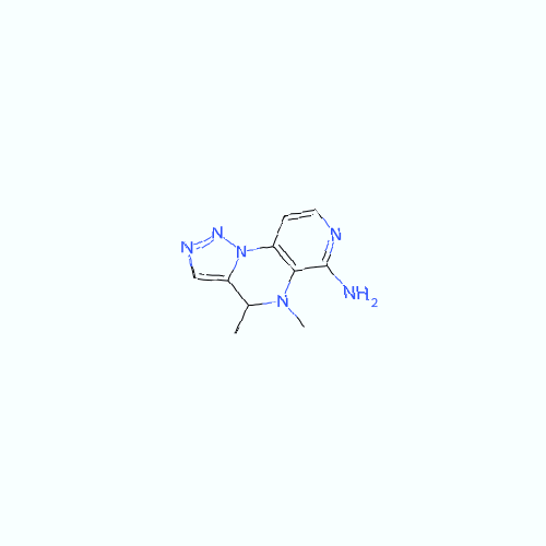 CC1c2cnnn2-c2ccnc(N)c2N1C